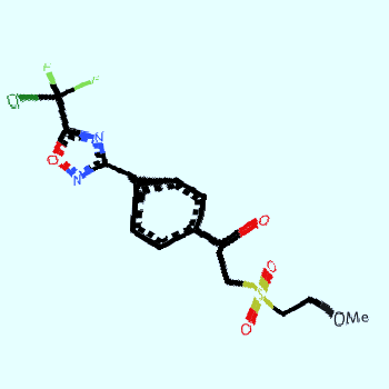 COCCS(=O)(=O)CC(=O)c1ccc(-c2noc(C(F)(F)Cl)n2)cc1